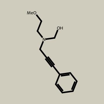 COCCN(CO)CC#Cc1ccccc1